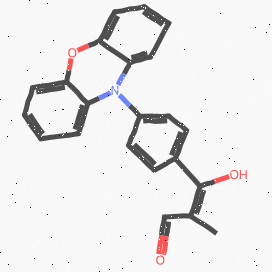 CC(C=O)=C(O)c1ccc(N2c3ccccc3Oc3ccccc32)cc1